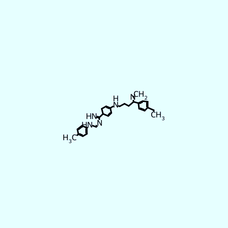 C=NC(CCCNC1=CCC(C(=N)/N=C\Nc2ccc(C)cc2)C=C1)c1ccc(CC)cc1